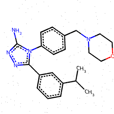 CC(C)c1cccc(-c2nnc(N)n2-c2ccc(CN3CCOCC3)cc2)c1